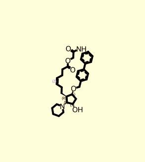 NC(=O)COC(=O)CC/C=C\CC[C@@H]1[C@@H](N2CCCCC2)[C@@H](O)C[C@@H]1OCc1ccc(-c2ccccc2)cc1